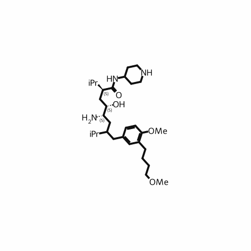 COCCCCc1cc(CC(C[C@H](N)[C@@H](O)C[C@H](C(=O)NC2CCNCC2)C(C)C)C(C)C)ccc1OC